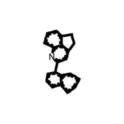 c1ccc2c(-c3cc4c5c(cccc5n3)CC4)cccc2c1